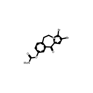 CNC(=O)Oc1ccc2c(c1)C(=O)c1cc(Br)c(Br)n1CC2